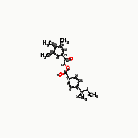 CCC(C)c1ccc(C(=O)OCC(=O)c2cc(C)c(C)c(C)c2)cc1